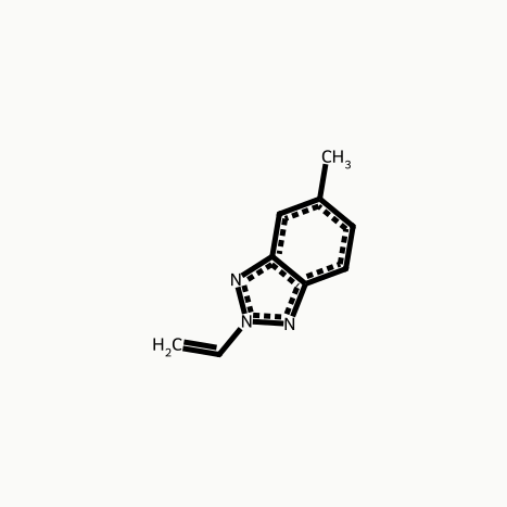 C=Cn1nc2ccc(C)cc2n1